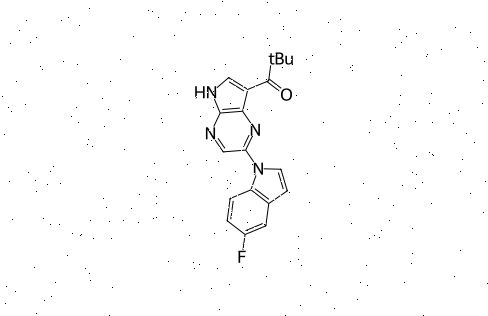 CC(C)(C)C(=O)c1c[nH]c2ncc(-n3ccc4cc(F)ccc43)nc12